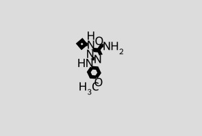 COC1CCC(Nc2ncc(C(N)=O)c(NC3CCC3)n2)CC1